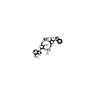 Nc1ncnc2c1ncn2C1OC2COP(=O)(S)OC3C(COP(=O)(S)OC1C2O)OC(n1cnc2ccccc21)C3O